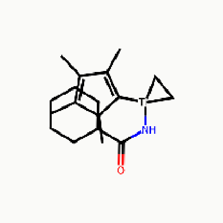 CC1=C(C)C(C)[C]([Ti]2([NH]C(=O)C3CCCCC3)[CH2][CH2]2)=C1C